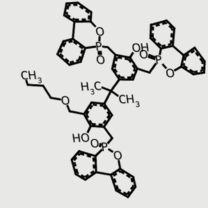 CCCCOCc1cc(C(C)(C)c2cc(CP3(=O)Oc4ccccc4-c4ccccc43)c(O)c(CP3(=O)Oc4ccccc4-c4ccccc43)c2)cc(CP2(=O)Oc3ccccc3-c3ccccc32)c1O